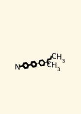 CCCCC(C)[C@H]1CC[C@H](c2ccc(-c3ccc(C#N)cc3)cc2)CC1